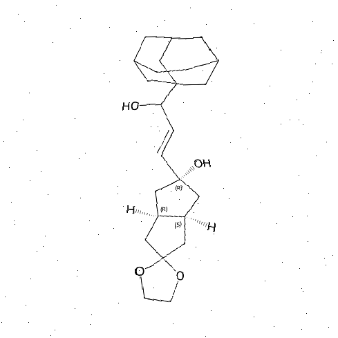 OC(C=C[C@@]1(O)C[C@H]2CC3(C[C@H]2C1)OCCO3)C12CC3CC(CC(C3)C1)C2